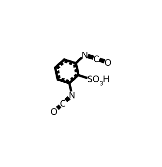 O=C=Nc1cccc(N=C=O)c1S(=O)(=O)O